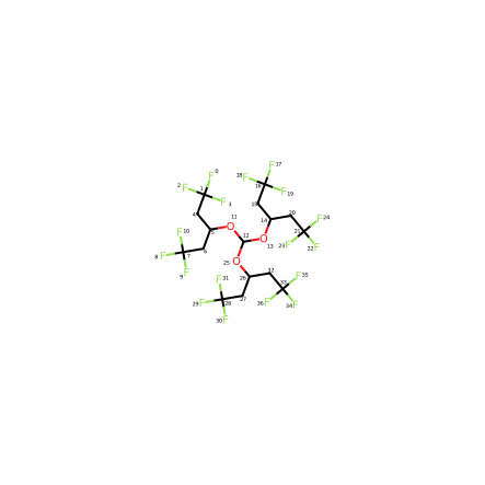 FC(F)(F)CC(CC(F)(F)F)OC(OC(CC(F)(F)F)CC(F)(F)F)OC(CC(F)(F)F)CC(F)(F)F